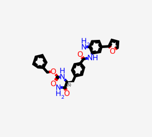 NC(=O)[C@H](Cc1ccc(C(=O)Nc2cc(-c3ccco3)ccc2N)cc1)NC(=O)OCc1ccccc1